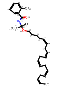 CC/C=C\C/C=C\C/C=C\C/C=C\C/C=C\CCCCOC(CC)(NC(=O)c1ccccc1OC(C)=O)C(=O)OCC